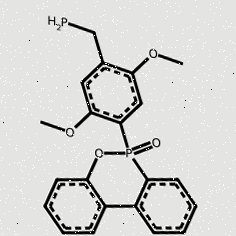 COc1cc(P2(=O)Oc3ccccc3-c3ccccc32)c(OC)cc1CP